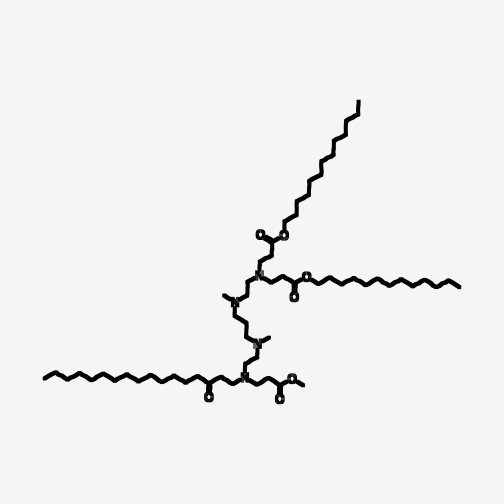 CCCCCCCCCCCCCCC(=O)CCN(CCC(=O)OC)CCN(C)CCCN(C)CCN(CCC(=O)OCCCCCCCCCCCCC)CCC(=O)OCCCCCCCCCCCCC